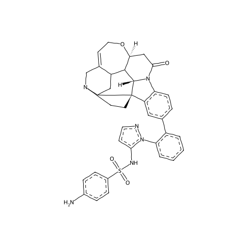 Nc1ccc(S(=O)(=O)Nc2ccnn2-c2ccccc2-c2ccc3c(c2)[C@@]24CCN5CC6=CCO[C@H]7CC(=O)N3[C@H]2C7C6CC54)cc1